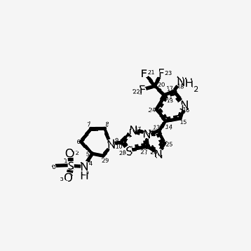 CS(=O)(=O)NC1CCCN(c2nn3c(-c4cnc(N)c(C(F)(F)F)c4)cnc3s2)C1